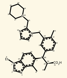 CCn1nnc2c(C)c([C@@H](c3ccc(C)c(Cn4ccnc4CN4CCCCC4)c3)[C@H](C)C(=O)O)ccc21